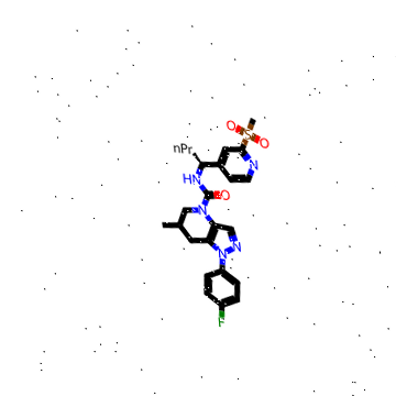 CCC[C@H](NC(=O)N1CC(C)Cc2c1cnn2-c1ccc(F)cc1)c1ccnc(S(C)(=O)=O)c1